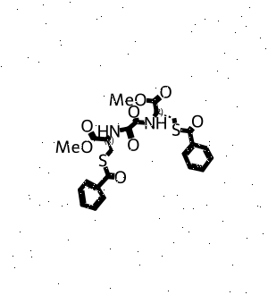 COC(=O)[C@H](CSC(=O)c1ccccc1)NC(=O)C(=O)N[C@@H](CSC(=O)c1ccccc1)C(=O)OC